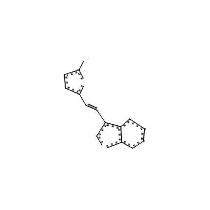 Brc1ccc(/C=C/c2csc3ccccc23)s1